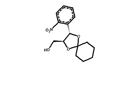 O=[N+]([O-])c1ccccc1[C@@H]1OC2(CCCCC2)O[C@H]1CO